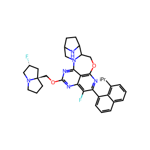 CC(C)c1cccc2cccc(-c3nc4c5c(nc(OC[C@@]67CCCN6C[C@H](F)C7)nc5c3F)N3CC5CCC(N5)C3CO4)c12